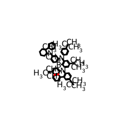 CC(C)(C)c1ccc(N2c3cc(N4c5ccccc5C5(C)CCCCC45C)ccc3B3c4cc(C(C)(C)C)ccc4N(c4ccc(C(C)(C)C)cc4-c4ccccc4)c4cc(C(C)(C)C)cc2c43)cc1